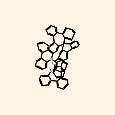 c1ccc(-c2ccccc2N(c2ccc3c(c2)C2(c4ccccc4-c4ccccc4-3)c3ccccc3-c3cc4c(cc32)oc2ccccc24)c2cccc3c2Oc2ccccc2-c2ccccc2-3)cc1